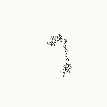 Nc1nccn2c([C@@H]3CCCN3CCOCCOCCOCCOCCNc3cccc4c3C(=O)N(C3CCC(=O)NC3=O)C4=O)nc(-c3ccc(C(=O)Nc4ccccn4)cc3)c12